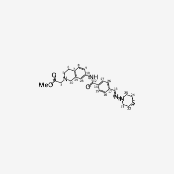 COC(=O)CN1CCc2ccc(NC(=O)c3ccc(/C=N/N4CCSCC4)cc3)cc2C1